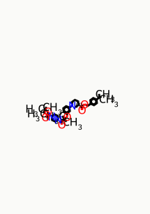 CC(C)c1ccc(COC(=O)[C@@H]2CCCN(c3cccc(OC(C)(C)C(=O)N4CCN(C(=O)OC(C)(C)C)CC4)c3)C2)cc1